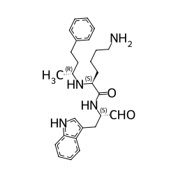 C[C@H](CCc1ccccc1)N[C@@H](CCCCN)C(=O)N[C@H](C=O)Cc1c[nH]c2ccccc12